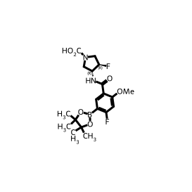 COc1cc(F)c(B2OC(C)(C)C(C)(C)O2)cc1C(=O)N[C@@H]1CN(C(=O)O)C[C@H]1F